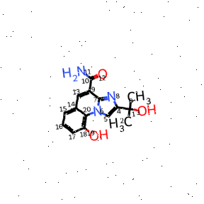 CC(C)(O)c1cn2c(n1)c(C(N)=O)cc1cccc(O)c12